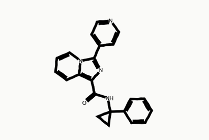 O=C(NC1(c2ccccc2)CC1)c1nc(-c2ccncc2)n2ccccc12